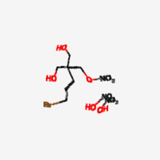 O=[N+]([O-])O.O=[N+]([O-])O.O=[N+]([O-])OCC(CO)(CO)CCCBr